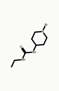 CCNC(=O)NC1CCN(Br)CC1